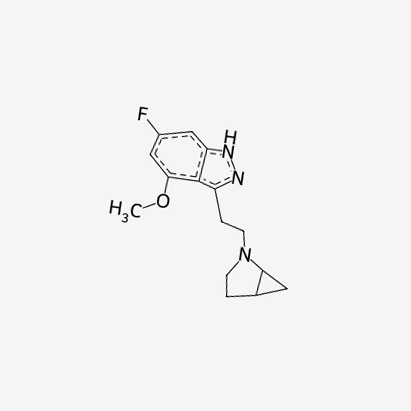 COc1cc(F)cc2[nH]nc(CCN3CCC4CC43)c12